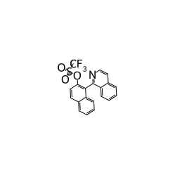 O=S(=O)(Oc1ccc2ccccc2c1-c1nccc2ccccc12)C(F)(F)F